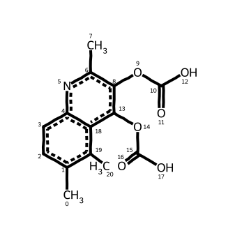 Cc1ccc2nc(C)c(OC(=O)O)c(OC(=O)O)c2c1C